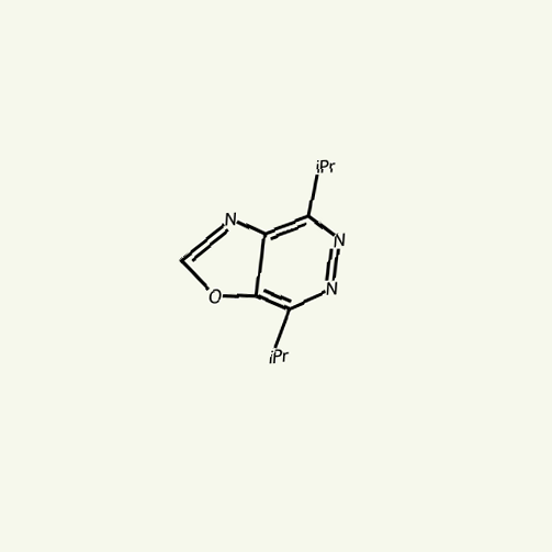 CC(C)c1nnc(C(C)C)c2ocnc12